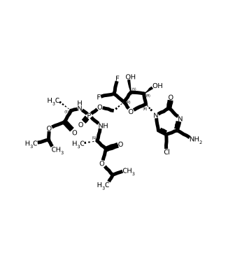 CC(C)OC(=O)[C@H](C)NP(=O)(N[C@@H](C)C(=O)OC(C)C)OC[C@@]1(C(F)F)O[C@@H](n2cc(Cl)c(N)nc2=O)[C@H](O)[C@@H]1O